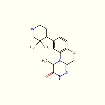 CC1C(=O)NN=C2COc3ccc(C4CCNCC4(C)C)cc3N21